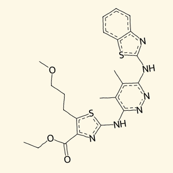 CCOC(=O)c1nc(Nc2nnc(Nc3nc4ccccc4s3)c(C)c2C)sc1CCCOC